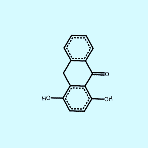 O=C1c2ccccc2Cc2c(O)ccc(O)c21